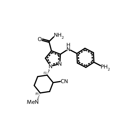 CN[C@@H]1CC[C@H](n2cc(C(N)=O)c(Nc3ccc(P)cc3)n2)C(C#N)C1